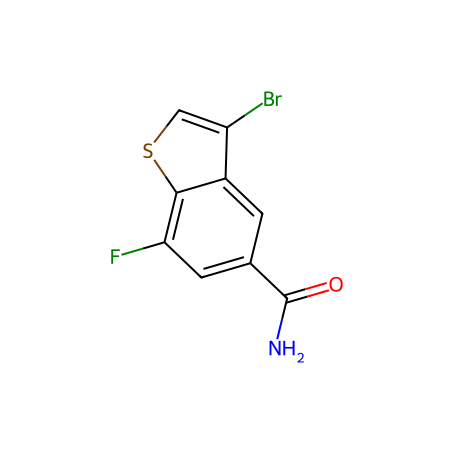 NC(=O)c1cc(F)c2scc(Br)c2c1